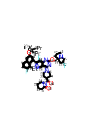 CCc1c(F)ccc2cc(O[Si](C(C)C)(C(C)C)C(C)C)cc(-c3ncc4c(N5CCC(C(=O)N6CCCCC6=O)CC5)nc(OC[C@@]56CCCN5C[C@H](F)C6)nc4c3F)c12